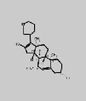 C[C@H]1C=C2C[C@@H](O)CC[C@]2(C)[C@H]2CC[C@]3(C)C(C4CCCNC4)=C(O)C[C@H]3[C@H]12